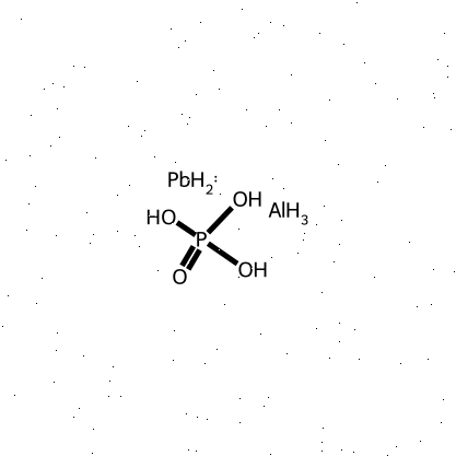 O=P(O)(O)O.[AlH3].[PbH2]